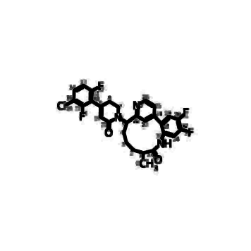 CC1CCCC(N2CCC(c3c(F)ccc(Cl)c3F)=CC2=O)c2cc(ccn2)-c2cc(F)c(F)cc2NC1=O